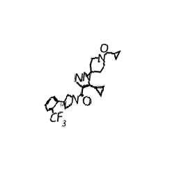 O=C(c1cnn(C2CCN(C(=O)C3CC3)CC2)c1C1CC1)N1CC[C@@H](c2ccccc2C(F)(F)F)C1